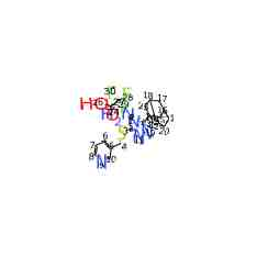 Nn1c(SCc2cccnc2)nnc1C12CC3CC(CC(C3)C1)C2.O=C(O)C(F)(F)F